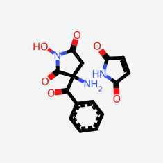 NC1(C(=O)c2ccccc2)CC(=O)N(O)C1=O.O=C1C=CC(=O)N1